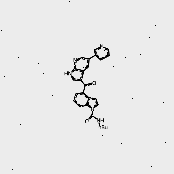 CCCCNC(=O)n1ccc2c(C(=O)c3c[nH]c4ncc(-c5cccnc5)cc34)cccc21